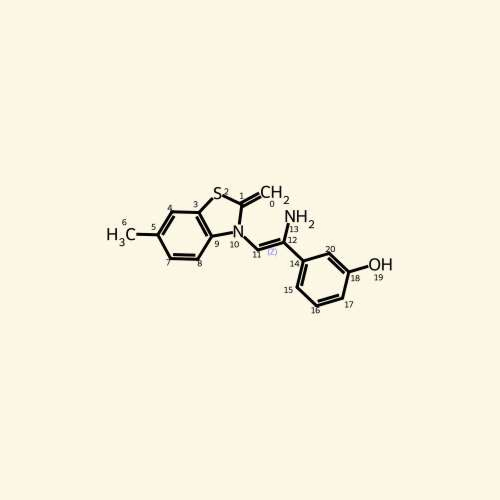 C=C1Sc2cc(C)ccc2N1/C=C(\N)c1cccc(O)c1